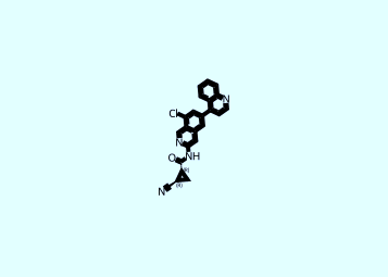 N#C[C@@H]1C[C@H]1C(=O)Nc1cc2cc(-c3ccnc4ccccc34)cc(Cl)c2cn1